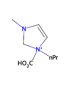 CCC[N+]1(C(=O)O)C=CN(C)C1